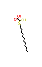 CCCCCCCCCCCCCSC(S)C(=O)O